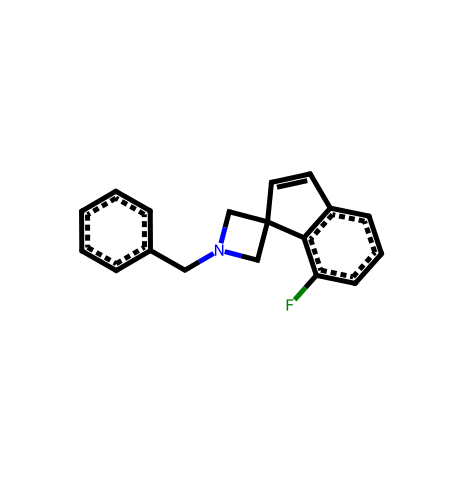 Fc1cccc2c1C1(C=C2)CN(Cc2ccccc2)C1